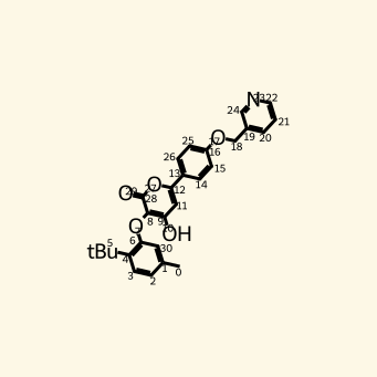 Cc1ccc(C(C)(C)C)c(Oc2c(O)cc(-c3ccc(OCc4cccnc4)cc3)oc2=O)c1